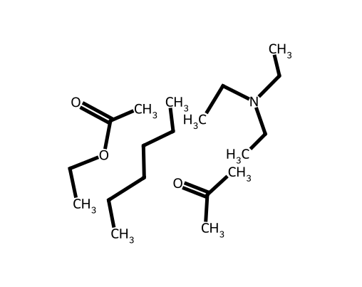 CC(C)=O.CCCCCC.CCN(CC)CC.CCOC(C)=O